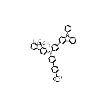 CC1(C)c2ccccc2-c2ccc(N(c3ccc(-c4ccc(C5OCCO5)cc4)cc3)c3ccc(-c4ccc5c(c4)c4ccccc4n5-c4ccccc4)cc3)cc21